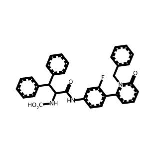 O=C(O)NC(C(=O)Nc1ccc(-c2cccc(=O)n2Cc2ccccc2)c(F)c1)C(c1ccccc1)c1ccccc1